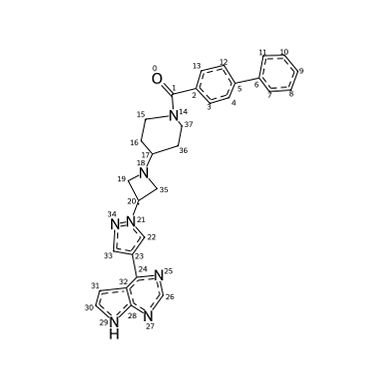 O=C(c1ccc(-c2ccccc2)cc1)N1CCC(N2C[C](n3cc(-c4ncnc5[nH]ccc45)cn3)C2)CC1